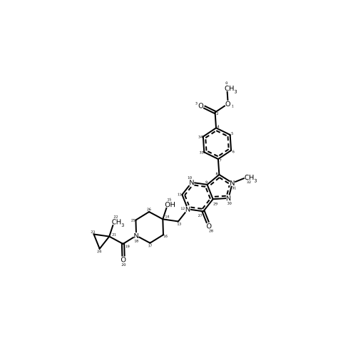 COC(=O)c1ccc(-c2c3ncn(CC4(O)CCN(C(=O)C5(C)CC5)CC4)c(=O)c3nn2C)cc1